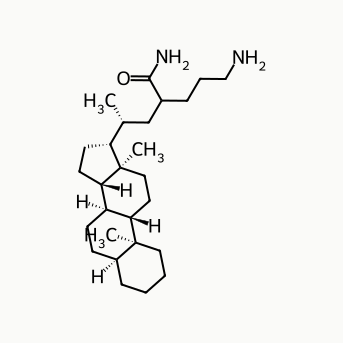 C[C@H](CC(CCCN)C(N)=O)[C@H]1CC[C@H]2[C@@H]3CC[C@@H]4CCCC[C@]4(C)[C@H]3CC[C@]12C